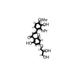 CCCc1c(-c2cc(=O)c3c(O)cc(OC[C@@H](O)CO)cc3o2)ccc(OC)c1O